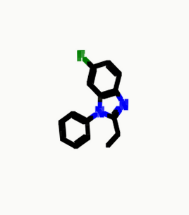 CCc1nc2ccc(F)cc2n1-c1ccccc1